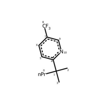 CCCC(C)(C)c1ccc(C(F)(F)F)cn1